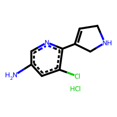 Cl.Nc1cnc(C2=CCNC2)c(Cl)c1